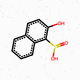 O=S(O)c1c(O)ccc2ccccc12